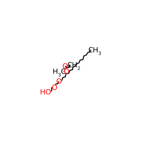 C=CC(=O)OC.CCCCCCCCCCCCCCCCCCOCCOCCO